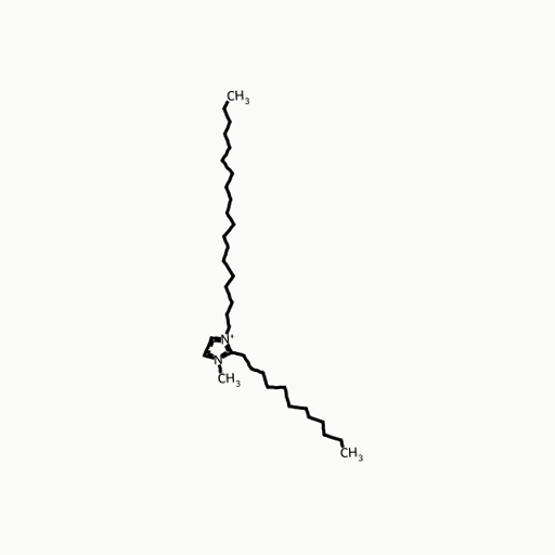 CCCCCCCCCCCCCCCCCCC[n+]1ccn(C)c1CCCCCCCCCCCC